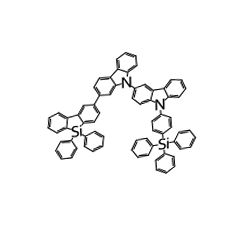 c1ccc([Si](c2ccccc2)(c2ccccc2)c2ccc(-n3c4ccccc4c4cc(-n5c6ccccc6c6ccc(-c7ccc8c(c7)-c7ccccc7[Si]8(c7ccccc7)c7ccccc7)cc65)ccc43)cc2)cc1